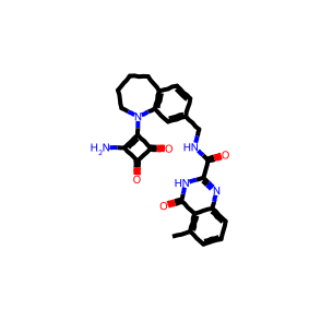 Cc1cccc2nc(C(=O)NCc3ccc4c(c3)N(c3c(N)c(=O)c3=O)CCCC4)[nH]c(=O)c12